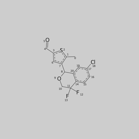 Cc1sc(C=O)cc1C1OCC(F)(F)c2ccc(Cl)cc21